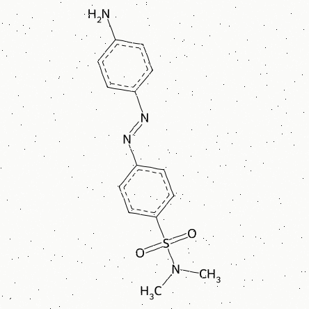 CN(C)S(=O)(=O)c1ccc(N=Nc2ccc(N)cc2)cc1